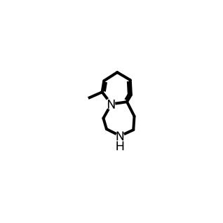 CC1=CCC=C=C2CCNCCN21